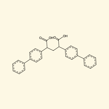 O=C(O)C(CC(C(=O)O)c1ccc(-c2ccccc2)cc1)c1ccc(-c2ccccc2)cc1